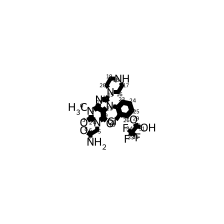 Cn1c(=O)n(CC(N)=O)c(=O)c2c1nc(N1CCNCC1)n2-c1ccccc1Cl.O=C(O)C(F)(F)F